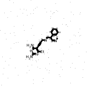 CCc1nc(N)nc(N)c1C#CC/N=C/C(/C=N\C)c1ccccc1